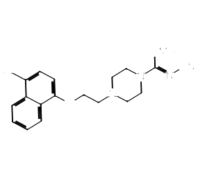 CS/C(=N\C#N)N1CCN(CCOc2ccc(Cl)c3ccccc23)CC1